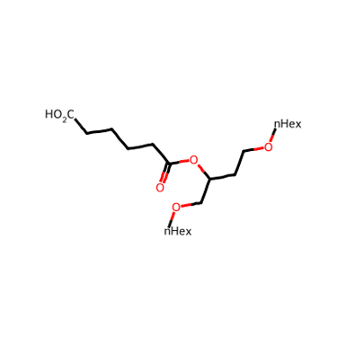 CCCCCCOCCC(COCCCCCC)OC(=O)CCCCC(=O)O